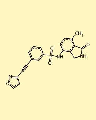 Cc1ccc(NS(=O)(=O)c2cccc(C#Cc3ccon3)c2)c2c1C(=O)NC2